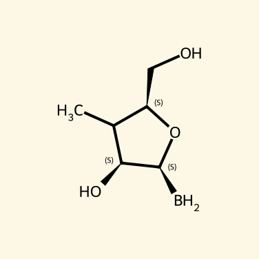 B[C@@H]1O[C@H](CO)C(C)[C@@H]1O